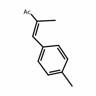 CC(=O)C(C)=Cc1ccc(C)cc1